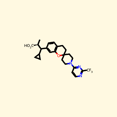 C[C@H](C(=O)O)C(c1ccc2c(c1)OC1(CC2)CCN(c2ccnc(C(F)(F)F)n2)CC1)C1CC1